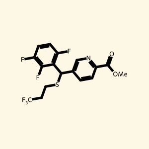 COC(=O)c1ccc(C(SCCC(F)(F)F)c2c(F)ccc(F)c2F)cn1